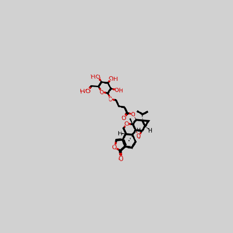 CC(C)[C@]12C[C@H]1[C@@H]1O[C@@]13[C@@]1(C)CCC4=C(COC4=O)[C@@H]1CO[C@]3(C)[C@@H]2OC(=O)CCCOC1OC(CO)C(O)C(O)C1O